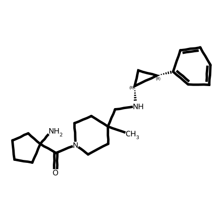 CC1(CN[C@@H]2C[C@@H]2c2ccccc2)CCN(C(=O)C2(N)CCCC2)CC1